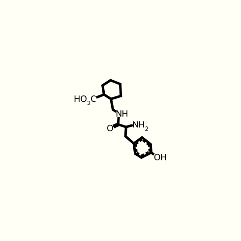 NC(Cc1ccc(O)cc1)C(=O)NCC1CCCCC1C(=O)O